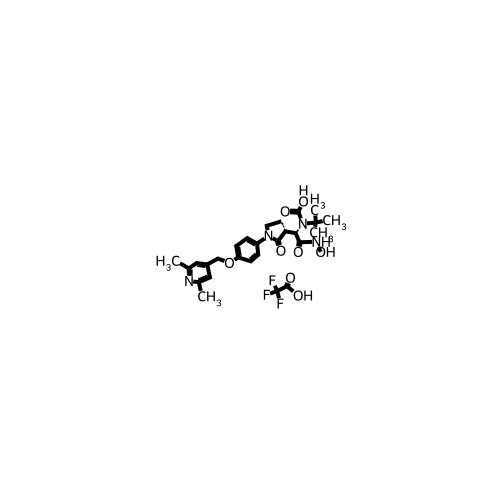 Cc1cc(COc2ccc(N3CC[C@H]([C@@H](C(=O)NO)N(C(=O)O)C(C)(C)C)C3=O)cc2)cc(C)n1.O=C(O)C(F)(F)F